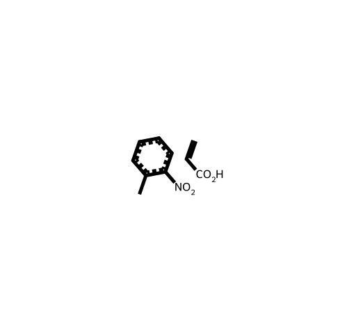 C=CC(=O)O.Cc1ccccc1[N+](=O)[O-]